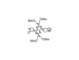 COCCN(CCOC)c1nc(N2CCc3nocc3C2)c2nc(N(CCOC)CCOC)nc(N3CCN(C)C(=O)C3)c2n1